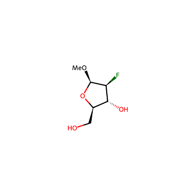 CO[C@@H]1O[C@H](CO)[C@@H](O)[C@@H]1F